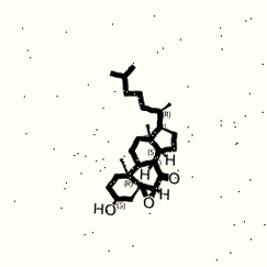 CC(C)CCC[C@@H](C)[C@H]1CC[C@H]2[C@@H]3C(=O)[C@@H]4O[C@@]45C[C@@H](O)CC[C@]5(C)C3CC[C@]12C